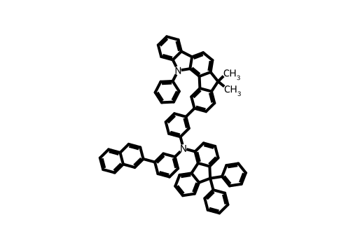 CC1(C)c2ccc(-c3cccc(N(c4cccc(-c5ccc6ccccc6c5)c4)c4cccc5c4-c4ccccc4C5(c4ccccc4)c4ccccc4)c3)cc2-c2c1ccc1c3ccccc3n(-c3ccccc3)c21